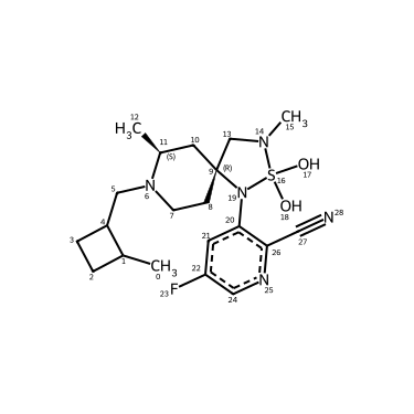 CC1CCC1CN1CC[C@@]2(C[C@@H]1C)CN(C)S(O)(O)N2c1cc(F)cnc1C#N